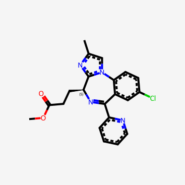 COC(=O)CC[C@@H]1N=C(c2ccccn2)c2cc(Cl)ccc2-n2cc(C)nc21